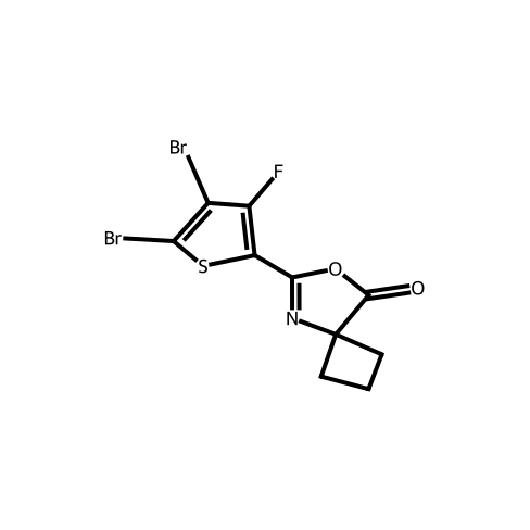 O=C1OC(c2sc(Br)c(Br)c2F)=NC12CCC2